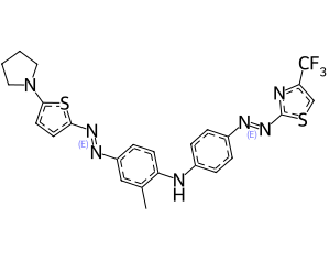 Cc1cc(/N=N/c2ccc(N3CCCC3)s2)ccc1Nc1ccc(/N=N/c2nc(C(F)(F)F)cs2)cc1